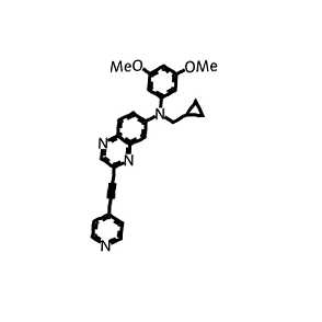 COc1cc(OC)cc(N(CC2CC2)c2ccc3ncc(C#Cc4ccncc4)nc3c2)c1